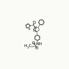 CCS(=O)(=O)Nc1ccc(C2=NN(C(=O)c3cccs3)C(c3ccccc3)C2)cc1